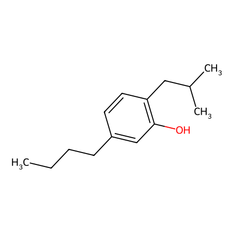 CCCCc1ccc(CC(C)C)c(O)c1